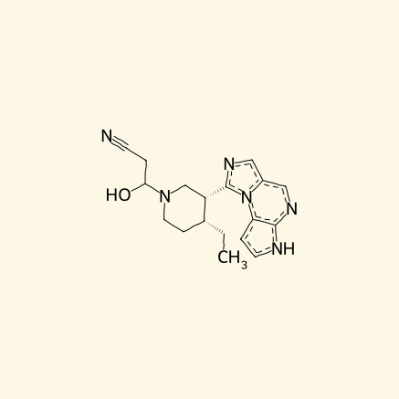 CC[C@@H]1CCN(C(O)CC#N)C[C@@H]1c1ncc2cnc3[nH]ccc3n12